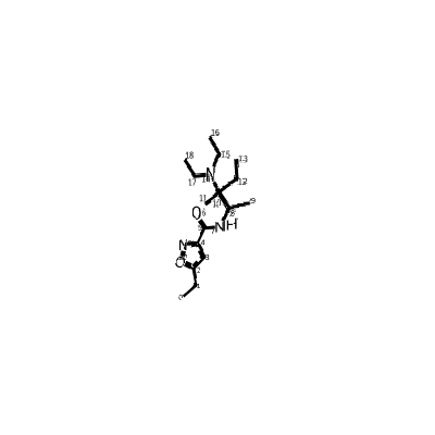 CCc1cc(C(=O)NC(C)C(C)(CC)N(CC)CC)no1